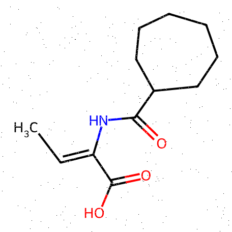 C/C=C(\NC(=O)C1CCCCCC1)C(=O)O